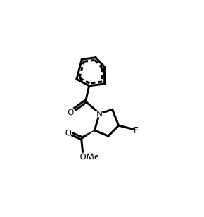 COC(=O)[C@@H]1CC(F)CN1C(=O)c1ccccc1